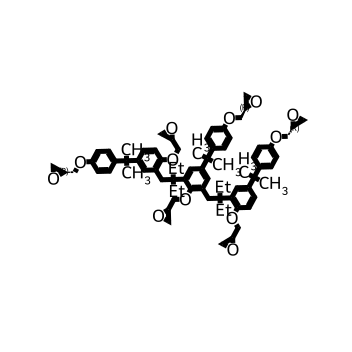 CCC(CC)(Cc1cc(C(C)(C)c2ccc(OC[C@H]3CO3)cc2)cc(C(CC)(CC)Cc2cc(C(C)(C)c3ccc(OC[C@H]4CO4)cc3)ccc2OCC2CO2)c1OCC1CO1)c1cc(C(C)(C)c2ccc(OC[C@H]3CO3)cc2)ccc1OCC1CO1